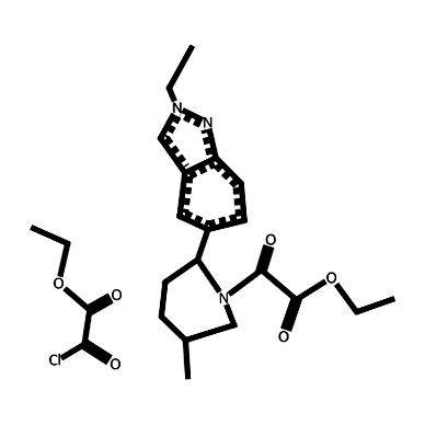 CCOC(=O)C(=O)Cl.CCOC(=O)C(=O)N1CC(C)CCC1c1ccc2nn(CC)cc2c1